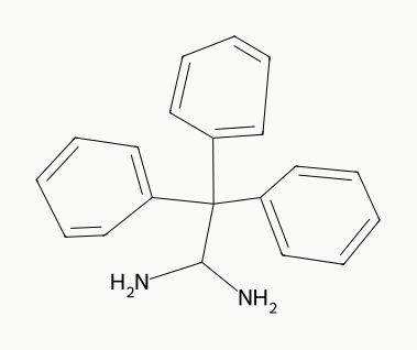 NC(N)C(c1ccccc1)(c1ccccc1)c1ccccc1